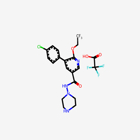 O=C(NN1CCNCC1)c1cnc(OCC(F)(F)F)c(-c2ccc(Cl)cc2)c1.O=C(O)C(F)(F)F